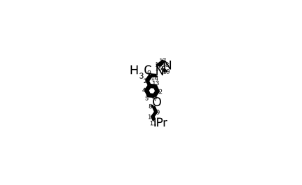 CC(=Cc1ccc(OCCCC(C)C)cc1)Cn1ccnc1